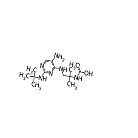 CC(C)(C)Nc1ncc(N)c(NCC(C)(C)NC(=O)O)n1